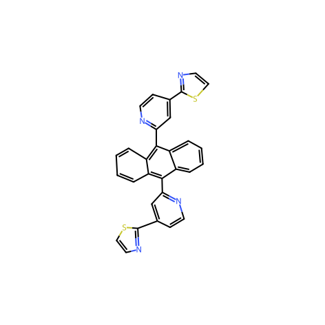 c1ccc2c(-c3cc(-c4nccs4)ccn3)c3ccccc3c(-c3cc(-c4nccs4)ccn3)c2c1